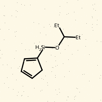 CCC(CC)O[SiH2]C1=CC=CC1